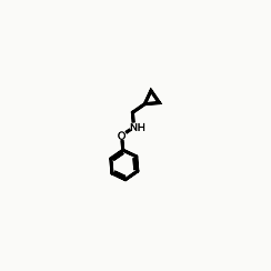 c1ccc(ONCC2CC2)cc1